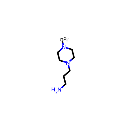 [CH2]CCN1CCN(CCCN)CC1